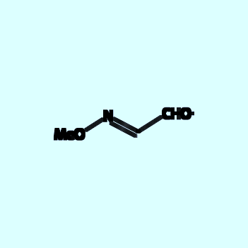 CON=C[C]=O